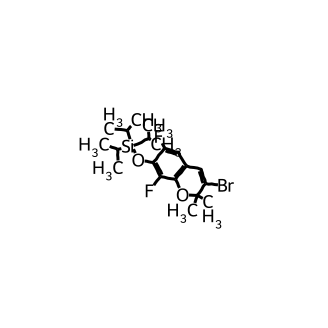 CC(C)[Si](Oc1c(F)cc2c(c1F)OC(C)(C)C(Br)=C2)(C(C)C)C(C)C